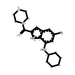 O=C(c1cc2cc(Br)cc(NC3CCCCC3)c2[nH]1)N1CCOCC1